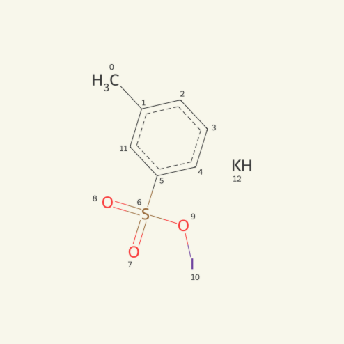 Cc1cccc(S(=O)(=O)OI)c1.[KH]